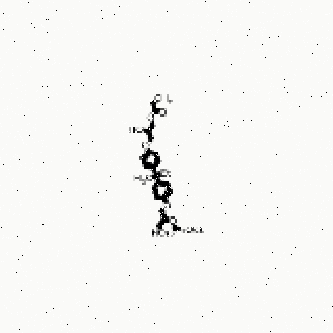 C=CC(=O)OCC(O)COc1ccc(C(C)(CC)c2ccc(OCC(CO)OC(=O)CCCCCCCC)cc2)cc1